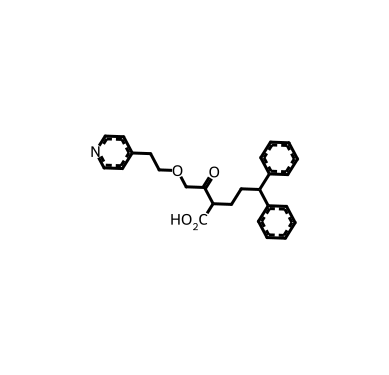 O=C(O)C(CCC(c1ccccc1)c1ccccc1)C(=O)COCCc1ccncc1